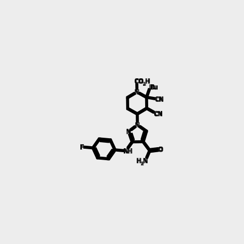 CCC(C)C1(C#N)C(C#N)C(n2cc(C(N)=O)c(Nc3ccc(F)cc3)n2)CCN1C(=O)O